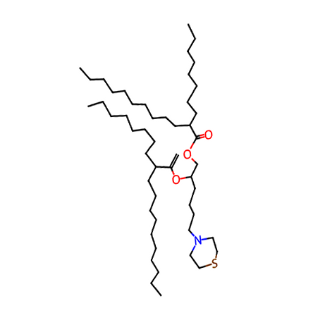 C=C(OC(CCCCN1CCSCC1)COC(=O)C(CCCCCCCC)CCCCCCCCCC)C(CCCCCCCC)CCCCCCCCCC